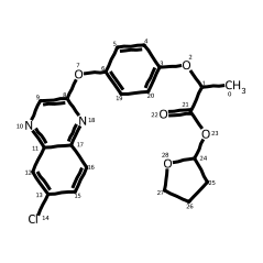 CC(Oc1ccc(Oc2cnc3cc(Cl)ccc3n2)cc1)C(=O)OC1CCCO1